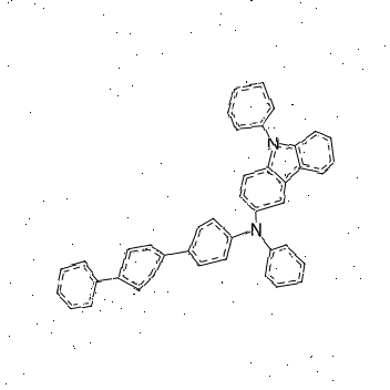 c1ccc(-c2ccc(-c3ccc(N(c4ccccc4)c4ccc5c(c4)c4ccccc4n5-c4ccccc4)cc3)cc2)cc1